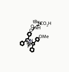 COc1ccc(-c2cc(-c3ccccc3)n(B(F)F)c2/N=C2\N=C(c3ccccc3)C=C2c2ccc(OCC(=O)NCCN(C(=O)O)C(C)(C)C)cc2)cc1